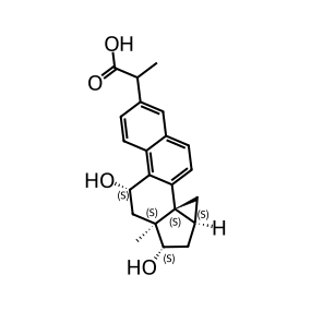 CC(C(=O)O)c1ccc2c3c(ccc2c1)[C@]12C[C@H]1C[C@H](O)[C@@]2(C)C[C@@H]3O